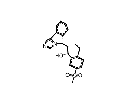 CS(=O)(=O)c1ccc2c(c1)[C@H](O)[C@H]([C@H]1c3ccccc3-c3cncn31)CC2